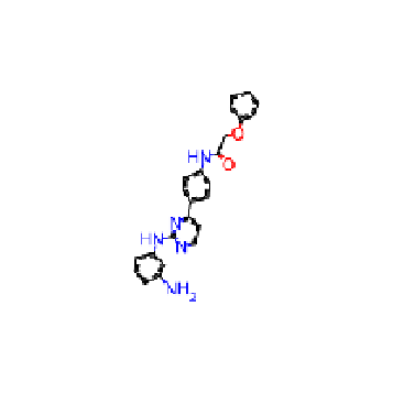 Nc1cccc(Nc2nccc(-c3ccc(NC(=O)COc4ccccc4)cc3)n2)c1